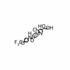 O=C(Nc1ccc(OC(F)(F)F)cc1)N1CCN(c2ncc(C(O)CO)cc2Cl)CC1